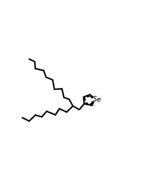 CCCCCCCCCCC(CCCCCCCC)Cc1[c][se]cc1